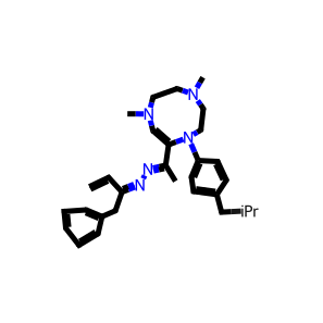 C=C\C(Cc1ccccc1)=N/N=C(C)/C1=C/N(C)CCN(C)CCN1c1ccc(CC(C)C)cc1